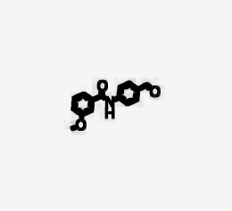 COc1cccc(C(=O)Nc2ccc(C=O)cc2)c1